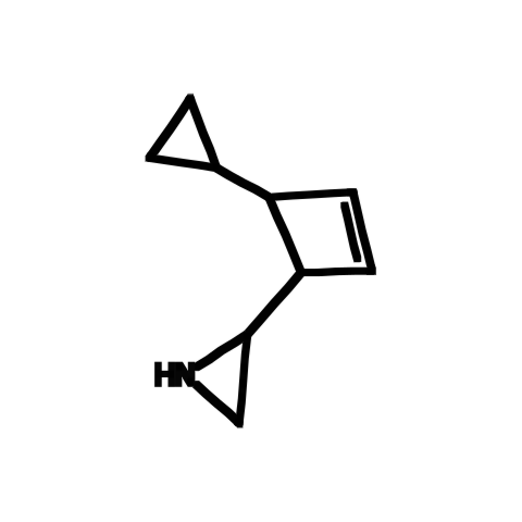 C1=CC(C2CN2)C1C1CC1